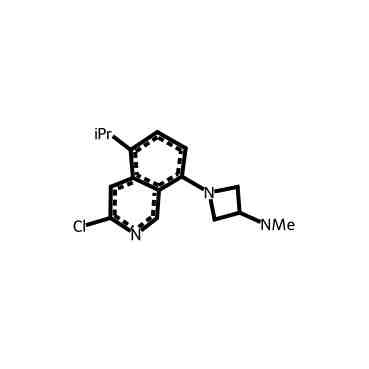 CNC1CN(c2ccc(C(C)C)c3cc(Cl)ncc23)C1